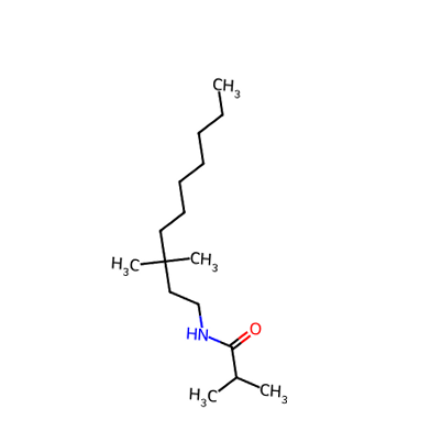 CCCCCCCC(C)(C)CCNC(=O)C(C)C